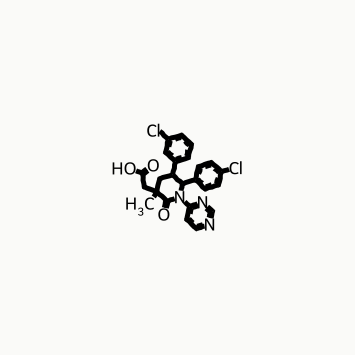 CC1(CC(=O)O)CC(c2cccc(Cl)c2)C(c2ccc(Cl)cc2)N(c2ccncn2)C1=O